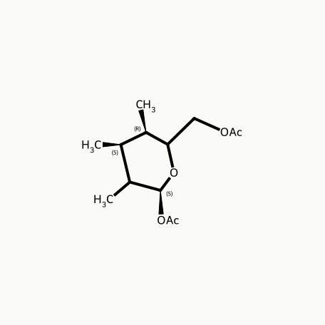 CC(=O)OCC1O[C@@H](OC(C)=O)C(C)[C@@H](C)[C@H]1C